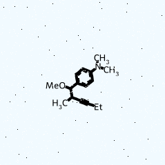 CCC#CC(C)C(OC)c1ccc(N(C)C)cc1